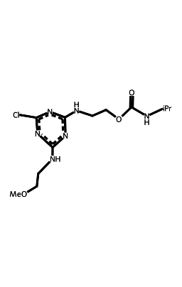 COCCNc1nc(Cl)nc(NCCOC(=O)NC(C)C)n1